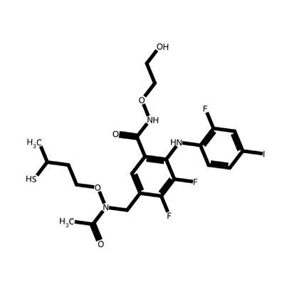 CC(=O)N(Cc1cc(C(=O)NOCCO)c(Nc2ccc(I)cc2F)c(F)c1F)OCCC(C)S